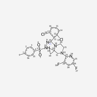 Cc1ccc(S(=O)(=O)N/N=C(/c2c(Cl)cccc2Cl)N2CCN(c3ncc(F)cc3F)CC23CC3)cc1